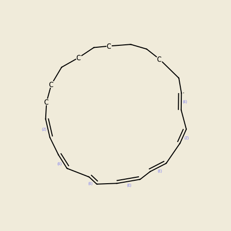 [C]1=C/C=C\C=C\C=C\C=C\C=C\C=C/CCCCCCCCCC/1